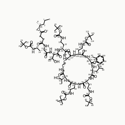 CCC[C@@H](C)OC(=O)CCC(=O)N[C@@H](CCNC(=O)OC(C)(C)C)C(=O)N[C@H](C(=O)N[C@@H](CCNC(=O)OC(C)(C)C)C(=O)N[C@H]1CCNC(=O)[C@H](C(C)O)NC(=O)[C@H](CCNC(=O)OC(C)(C)C)NC(=O)[C@H](CCNC(=O)OC(C)(C)C)NC(=O)[C@H](CC(C)C)NC(=O)[C@@H](Cc2ccccc2)NC(=O)[C@H](CCNC(=O)OC(C)(C)C)NC1=O)C(C)O